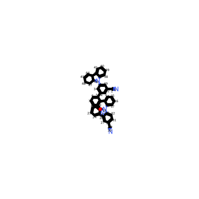 N#Cc1cc(-c2cccc(C#N)c2-c2ccccc2-n2c3ccccc3c3cc(C#N)ccc32)cc(N2c3ccccc3C3C=CCCC32)c1